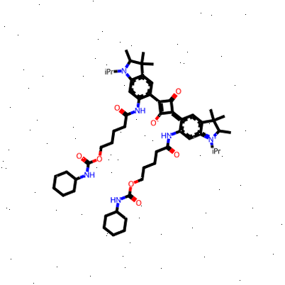 CC(C)N1c2cc(NC(=O)CCCCOC(=O)NC3CCCCC3)c(C3=C([O-])/C(=c4/cc5c(cc4NC(=O)CCCCOC(=O)NC4CCCCC4)=[N+](C(C)C)C(C)C5(C)C)C3=O)cc2C(C)(C)C1C